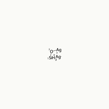 [Ag].[SiH3][O][Ag]